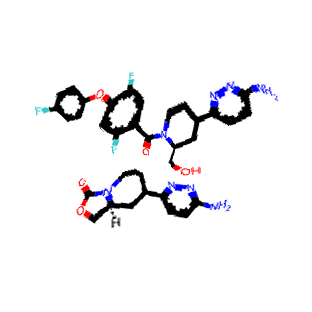 Nc1ccc(C2CCN(C(=O)c3cc(F)c(Oc4ccc(F)cc4)cc3F)[C@H](CO)C2)nn1.Nc1ccc(C2CCN3C(=O)OC[C@@H]3C2)nn1